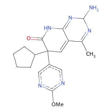 COc1ncc(C2(C3CCCC3)C=C3C(C)=NC(N)N=C3NC2=O)cn1